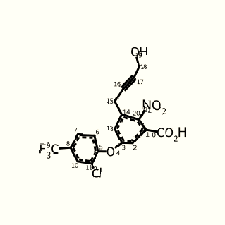 O=C(O)c1cc(Oc2ccc(C(F)(F)F)cc2Cl)cc(CC#CCO)c1[N+](=O)[O-]